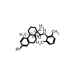 Cc1cccc(C)c1NC(=O)[C@@]1(C)CCC[C@]2(C)c3ccc(C(C)C)cc3CC[C@@H]12